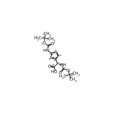 CC(C)(C)OC(=O)Nc1nc([C@@H](NC(=O)OC(C)(C)C)C(=O)O)cs1